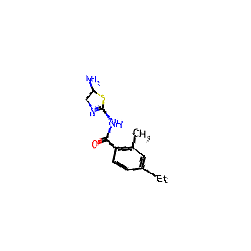 CCc1ccc(C(=O)NC2=NCC(N)S2)c(C)c1